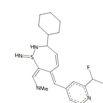 CN/C=C1\C(=C\c2ccnc(C(F)F)c2)C=CC(C2CCCCC2)NS1=N